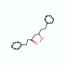 COC(CCc1ccccc1)CC(=O)CCc1ccccc1